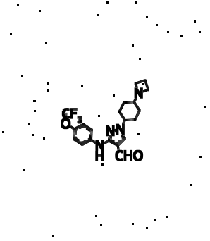 O=Cc1cn(C2CCC(N3CCC3)CC2)nc1Nc1ccc(OC(F)(F)F)cc1